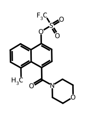 Cc1cccc2c(OS(=O)(=O)C(F)(F)F)ccc(C(=O)N3CCOCC3)c12